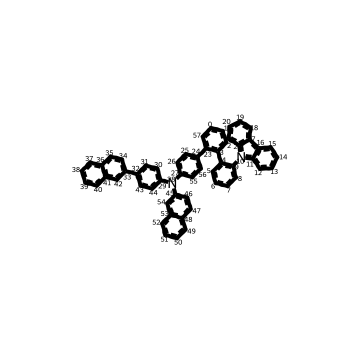 c1ccc(-c2ccccc2-n2c3ccccc3c3ccccc32)c(-c2ccc(N(c3ccc(-c4ccc5ccccc5c4)cc3)c3ccc4ccccc4c3)cc2)c1